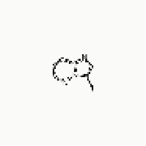 Ic1cnc2cccnn12